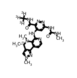 [2H]C([2H])([2H])NC(=O)c1nnc(NC(=O)NC)cc1Nc1nccc2c1N(C)[C@@H](C)c1cn(C)nc1-2